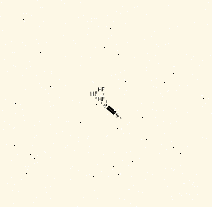 F.F.F.[P]=S